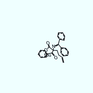 C=CCCC(N=C(c1ccccc1)c1ccccc1)(C(=O)OC(C)(C)C)C(=O)c1ccccc1